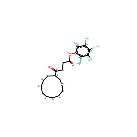 O=C(CCC(=O)C1CCCCCCCCCC1)Oc1c(F)c(F)c(F)c(F)c1F